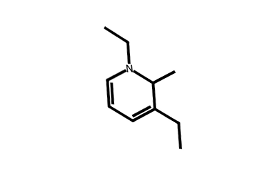 CCC1=CC=CN(CC)C1C